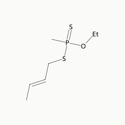 CC=CCSP(C)(=S)OCC